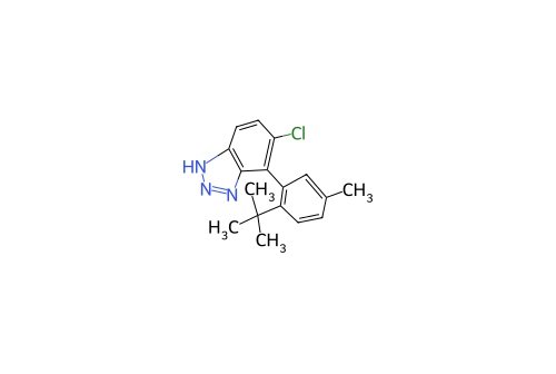 Cc1ccc(C(C)(C)C)c(-c2c(Cl)ccc3[nH]nnc23)c1